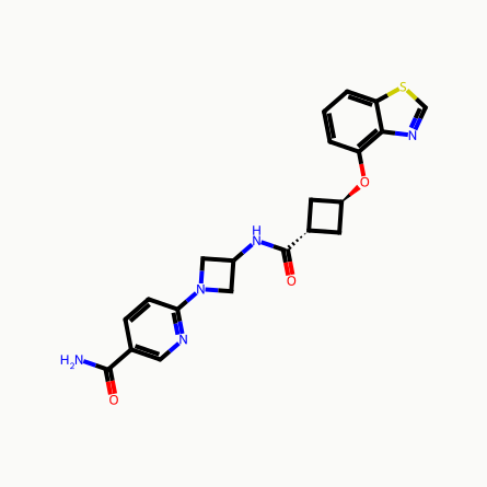 NC(=O)c1ccc(N2CC(NC(=O)[C@H]3C[C@H](Oc4cccc5scnc45)C3)C2)nc1